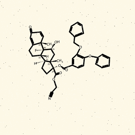 C[C@]12C=CC(=O)C=C1CC[C@H]1[C@@H]3CC[C@](OC(=O)c4ccc(Oc5ccccc5)c(OCc5ccccc5)c4)(C(=O)OCC#N)[C@@]3(C)C[C@H](O)[C@@]12F